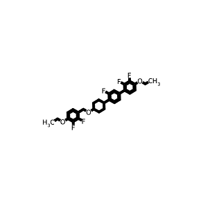 CCOc1ccc(COC2CCC(c3ccc(-c4ccc(OCC)c(F)c4F)cc3F)CC2)c(F)c1F